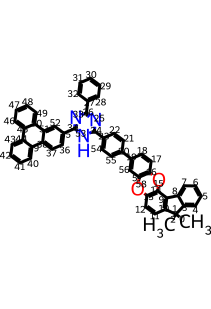 CC1(C)c2ccccc2-c2c1ccc1c2Oc2ccc(-c3ccc(C4N=C(c5ccccc5)N=C(c5ccc6c7ccccc7c7ccccc7c6c5)N4)cc3)cc2O1